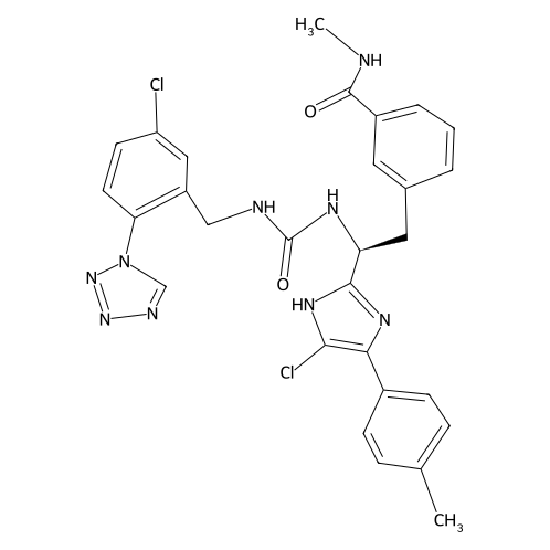 CNC(=O)c1cccc(C[C@H](NC(=O)NCc2cc(Cl)ccc2-n2cnnn2)c2nc(-c3ccc(C)cc3)c(Cl)[nH]2)c1